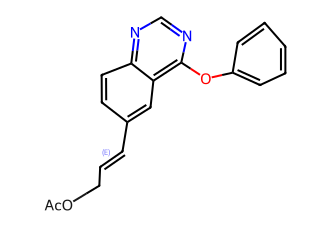 CC(=O)OC/C=C/c1ccc2ncnc(Oc3ccccc3)c2c1